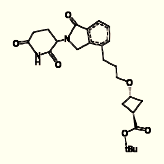 CC(C)(C)OC(=O)[C@H]1C[C@H](OCCCc2cccc3c2CN(C2CCC(=O)NC2=O)C3=O)C1